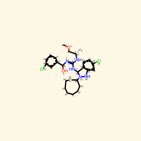 COC[C@H](C)N/C(=N/C(O)c1cccc(Cl)c1)NC1c2ccc(Cl)cc2NN1C1CCCCCCC1